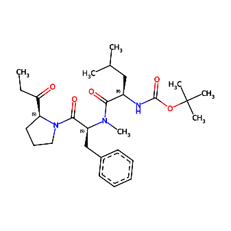 CCC(=O)[C@@H]1CCCN1C(=O)[C@H](Cc1ccccc1)N(C)C(=O)[C@@H](CC(C)C)NC(=O)OC(C)(C)C